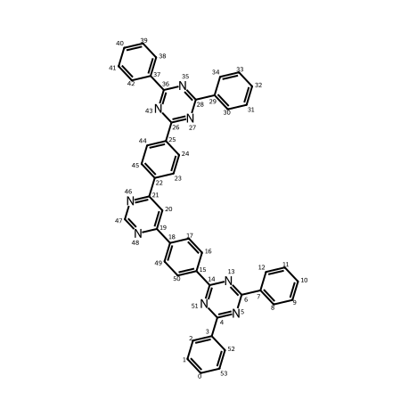 c1ccc(-c2nc(-c3ccccc3)nc(-c3ccc(-c4cc(-c5ccc(-c6nc(-c7ccccc7)nc(-c7ccccc7)n6)cc5)ncn4)cc3)n2)cc1